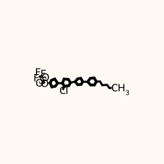 CCCCCc1ccc(-c2ccc(-c3ccc(-c4ccc(OS(=O)(=O)C(F)(F)F)cc4)c(Cl)c3)cc2)cc1